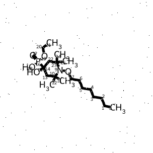 CCCCCCCCON1C(C)(C)CC(O)(P(=O)(O)OCC)CC1(C)C